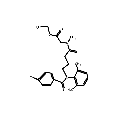 CCOC(=O)CN(C)C(=O)CCCN(C(=O)c1ccc(Cl)cc1)c1c(C)cccc1C